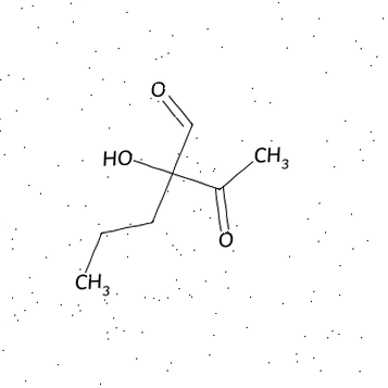 CCCC(O)(C=O)C(C)=O